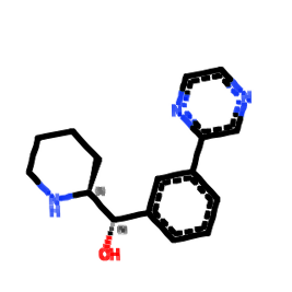 O[C@@H](c1cccc(-c2cnccn2)c1)[C@@H]1CCCCN1